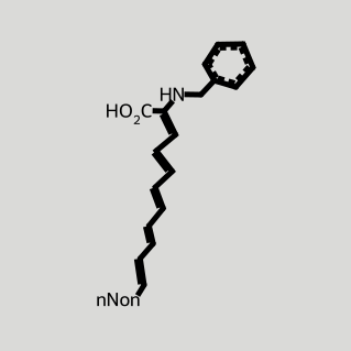 CCCCCCCCCC=CC=CC=CC=CC=C(NCc1ccccc1)C(=O)O